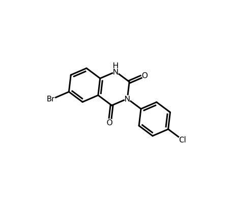 O=c1[nH]c2ccc(Br)cc2c(=O)n1-c1ccc(Cl)cc1